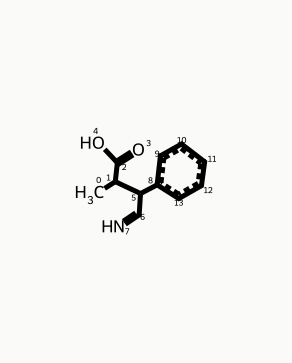 CC(C(=O)O)C(C=N)c1ccccc1